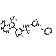 Cc1ncc(-c2cc(C(F)(F)F)c3c(N)ncnn23)cc1C(=O)Nc1cnn(CCc2ccccc2)c1